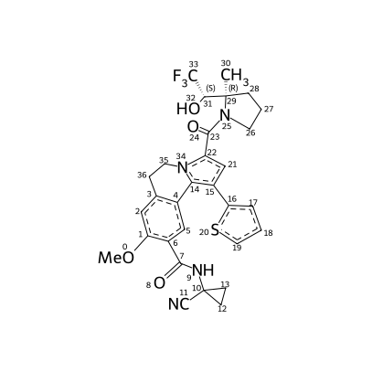 COc1cc2c(cc1C(=O)NC1(C#N)CC1)-c1c(-c3cccs3)cc(C(=O)N3CCC[C@]3(C)[C@H](O)C(F)(F)F)n1CC2